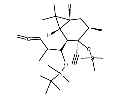 C#C[C@@]1(O[Si](C)(C)C)[C@H](C)C[C@@H]2[C@H]([C@@H]1C(O[Si](C)(C)C(C)(C)C)C(C)C=C=C)C2(C)C